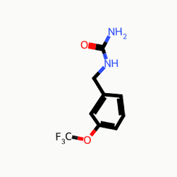 NC(=O)NCc1cccc(OC(F)(F)F)c1